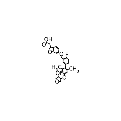 Cc1cc(OC2COCC2O)cc(C)c1-c1ccc(F)c(COc2ccc3c(c2)OCC3CC(=O)O)c1